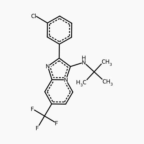 CC(C)(C)Nc1c(-c2cccc(Cl)c2)nc2cc(C(F)(F)F)ccn12